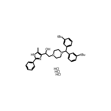 Cc1[nH]c(-c2ccccc2)nc1C(O)CN1CCN(C(c2cccc(C(C)(C)C)c2)c2cccc(C(C)(C)C)c2)CC1.Cl.Cl.Cl